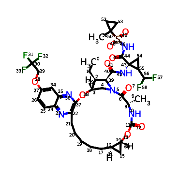 CC[C@@H]1[C@@H]2CN(C(=O)[C@H](C)NC(=O)O[C@@H]3C[C@H]3CCCCCc3nc4ccc(OCC(F)(F)F)cc4nc3O2)[C@@H]1C(=O)N[C@]1(C(=O)NS(=O)(=O)C2(C)CC2)CC1C(F)F